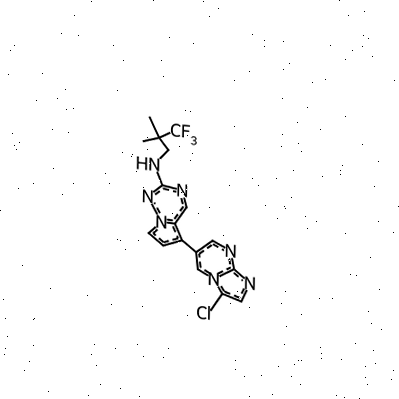 CC(C)(CNc1ncc2c(-c3cnc4ncc(Cl)n4c3)ccn2n1)C(F)(F)F